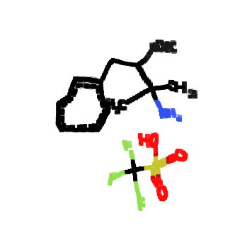 CCCCCCCCCCC(Cc1ccccc1)C(C)(C)N.O=S(=O)(O)C(F)(F)F